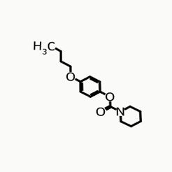 CCCCOc1ccc(OC(=O)N2CCCCC2)cc1